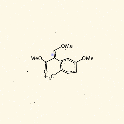 CO/C=C(/C(=O)OC)c1cc(OC)ccc1C